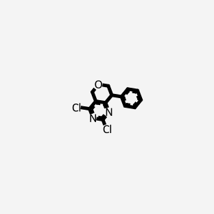 Clc1nc(Cl)c2c(n1)C(c1ccccc1)COC2